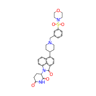 O=C1CCC(N2C(=O)c3ccc(C4CCN(Cc5cccc(S(=O)(=O)N6CCOCC6)c5)CC4)c4cccc2c34)C(=O)N1